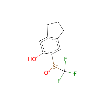 [O-][S+](c1cc2c(cc1O)CCC2)C(F)(F)F